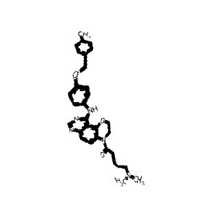 Cc1ccc(COc2ccc(Nc3ncnc4ccc5c(c34)OCCN5C(=O)/C=C/CN(C)C)cc2)cc1